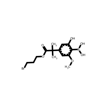 COc1cc(C(C)(C)C(=O)OCCCBr)cc(O)c1B(O)O